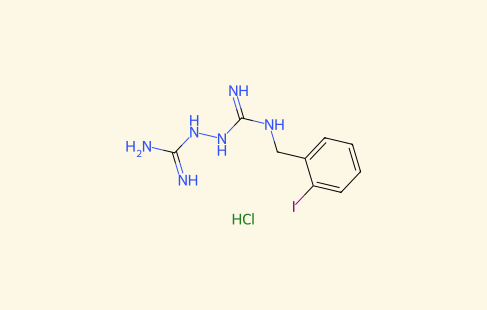 Cl.N=C(N)NNC(=N)NCc1ccccc1I